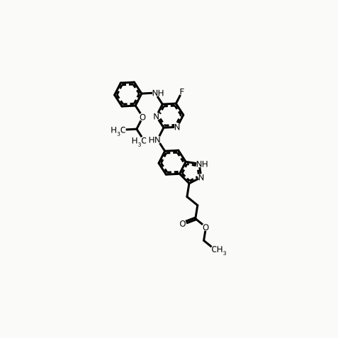 CCOC(=O)CCc1n[nH]c2cc(Nc3ncc(F)c(Nc4ccccc4OC(C)C)n3)ccc12